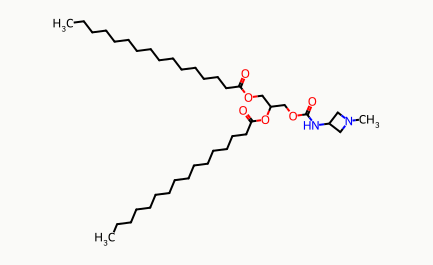 CCCCCCCCCCCCCCCC(=O)OCC(COC(=O)NC1CN(C)C1)OC(=O)CCCCCCCCCCCCCCC